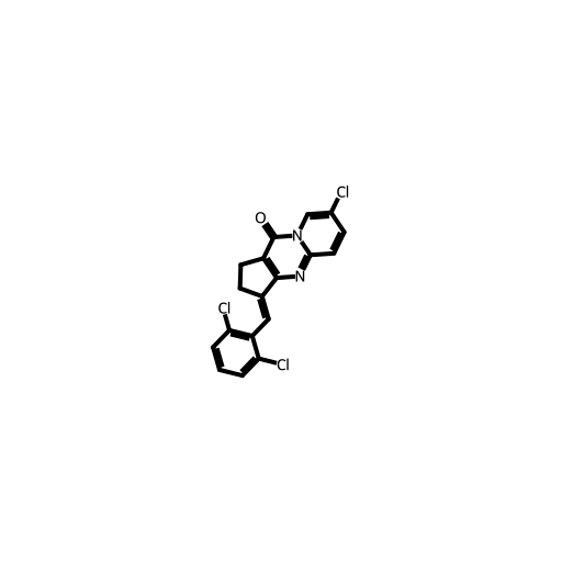 O=c1c2c(nc3ccc(Cl)cn13)C(=Cc1c(Cl)cccc1Cl)CC2